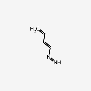 C=CC=CN=N